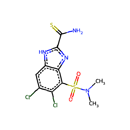 CN(C)S(=O)(=O)c1c(Cl)c(Cl)cc2[nH]c(C(N)=S)nc12